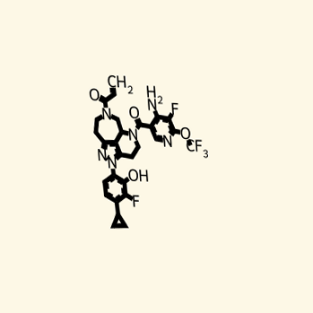 C=CC(=O)N1CCc2nn(-c3ccc(C4CC4)c(F)c3O)c3c2C(C1)N(C(=O)c1cnc(OC(F)(F)F)c(F)c1N)CC3